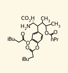 CCCC(=O)OC(C)C(C)C(c1ccc(OC(=O)CC(C)CC)c(OC(=O)CC(C)CC)c1)[C@H](N)C(=O)O